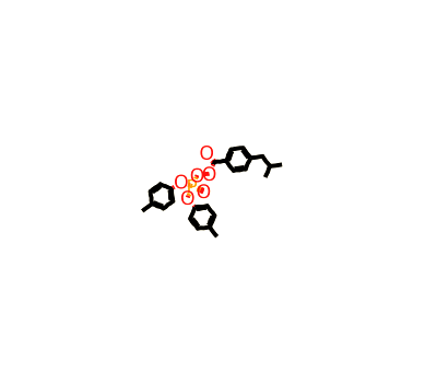 Cc1ccc(OP(=O)(OOC(=O)c2ccc(CC(C)C)cc2)Oc2ccc(C)cc2)cc1